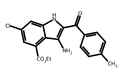 CCOC(=O)c1cc(Cl)cc2[nH]c(C(=O)c3ccc(C)cc3)c(N)c12